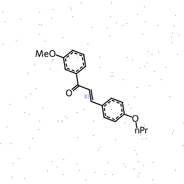 CCCOc1ccc(/C=C/C(=O)c2cccc(OC)c2)cc1